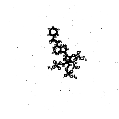 CCCCOC1C(OS(=O)(=O)C(F)(F)F)[C@H](n2cnc3c(NC(=O)c4ccccc4)ncnc32)OC1(COS(C)(=O)=O)COS(C)(=O)=O